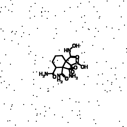 NC(=O)C1CCCC(C(=O)NO)(C(=O)NO)C1(C(N)=O)C(N)=O